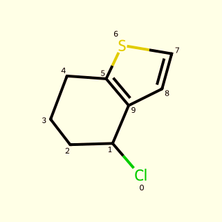 ClC1CCCc2sccc21